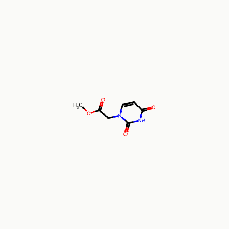 COC(=O)Cn1ccc(=O)[nH]c1=O